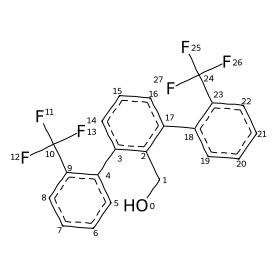 OCc1c(-c2ccccc2C(F)(F)F)cccc1-c1ccccc1C(F)(F)F